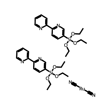 CCO[Si](OCC)(OCC)c1ccc(-c2ccccn2)nc1.CCO[Si](OCC)(OCC)c1ccc(-c2ccccn2)nc1.N#[C][Ru][C]#N